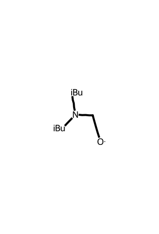 CCC(C)N(C[O])C(C)CC